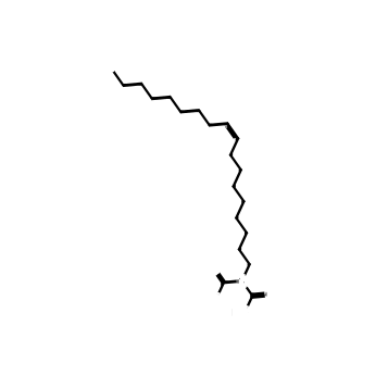 CCCCCCCC/C=C\CCCCCCCCN(C(=O)O)C(=O)O